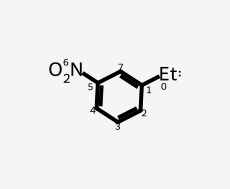 C[C]c1cccc([N+](=O)[O-])c1